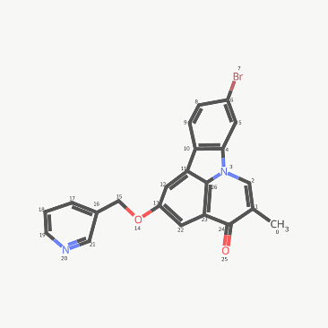 Cc1cn2c3cc(Br)ccc3c3cc(OCc4cccnc4)cc(c1=O)c32